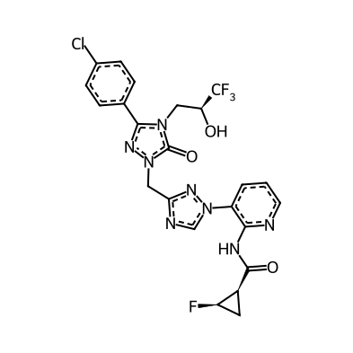 O=C(Nc1ncccc1-n1cnc(Cn2nc(-c3ccc(Cl)cc3)n(C[C@H](O)C(F)(F)F)c2=O)n1)[C@H]1C[C@H]1F